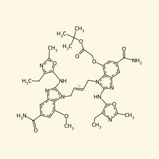 CCc1nc(C)oc1Nc1nc2cc(C(N)=O)cc(OC)c2n1C/C=C/Cn1c(Nc2oc(C)nc2CC)nc2cc(C(N)=O)cc(OCC(=O)OC(C)(C)C)c21